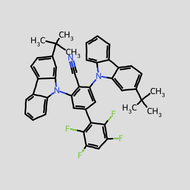 CC(C)(C)c1ccc2c3ccccc3n(-c3cc(-c4c(F)c(F)cc(F)c4F)cc(-n4c5ccccc5c5ccc(C(C)(C)C)cc54)c3C#N)c2c1